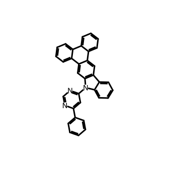 c1ccc(-c2cc(-n3c4ccccc4c4cc5c6ccccc6c6ccccc6c5cc43)ncn2)cc1